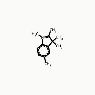 CC1=[N+](C)c2ccc(C)cc2C1(C)C